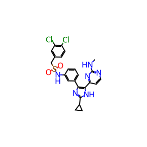 CNc1nccc(-c2[nH]c(C3CC3)nc2-c2cccc(NS(=O)(=O)Cc3ccc(Cl)c(Cl)c3)c2)n1